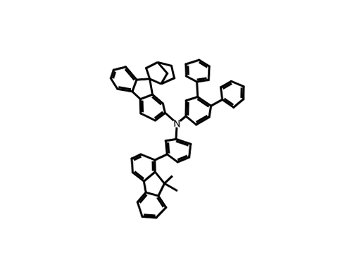 CC1(C)c2ccccc2-c2cccc(-c3cccc(N(c4ccc(-c5ccccc5)c(-c5ccccc5)c4)c4ccc5c(c4)C4(CC6CCC4C6)c4ccccc4-5)c3)c21